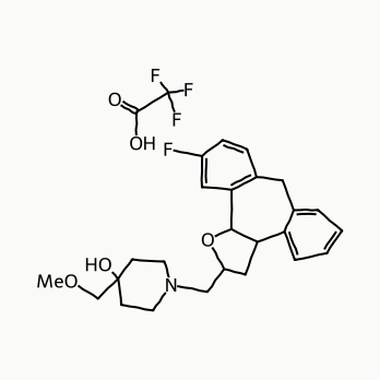 COCC1(O)CCN(CC2CC3c4ccccc4Cc4ccc(F)cc4C3O2)CC1.O=C(O)C(F)(F)F